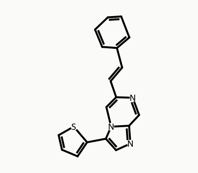 C(=C\c1cn2c(-c3cccs3)cnc2cn1)/c1ccccc1